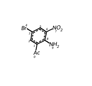 CC(=O)c1cc(Br)cc([N+](=O)[O-])c1N